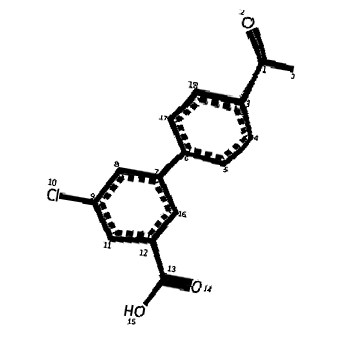 CC(=O)c1ccc(-c2cc(Cl)cc(C(=O)O)c2)cc1